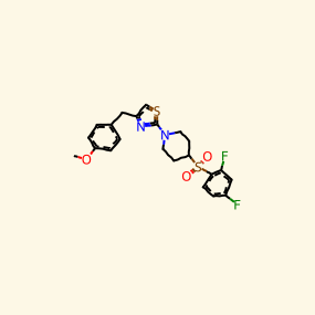 COc1ccc(Cc2csc(N3CCC(S(=O)(=O)c4ccc(F)cc4F)CC3)n2)cc1